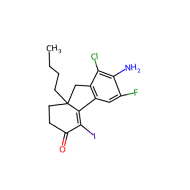 CCCCC12CCC(=O)C(I)=C1c1cc(F)c(N)c(Cl)c1C2